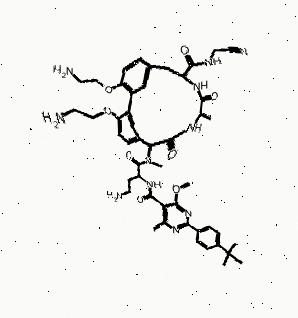 COc1nc(-c2ccc(C(C)(C)C)cc2)nc(C)c1C(=O)NC(CCN)C(=O)N(C)C1C(=O)NC(C)C(=O)NC(C(=O)NCC#N)Cc2ccc(OCCN)c(c2)-c2cc1ccc2OCCN